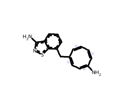 NC1=C/C=C(Cc2cccc3c(N)nsc23)\C=C/C=C\1